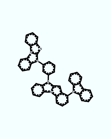 c1cc(-n2c3ccccc3n3c4cccc(-n5c6ccccc6c6ccccc65)c4cc23)cc(-n2c3ccccc3n3c4ccccc4nc23)c1